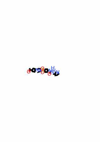 CC(=O)c1ccc(N2CCN(S(=O)(=O)c3ccc(NC(=O)NCc4cccnc4)cc3)CC2)cc1